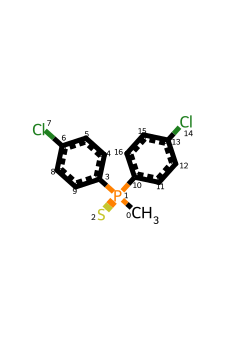 CP(=S)(c1ccc(Cl)cc1)c1ccc(Cl)cc1